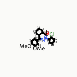 COc1ccc(C2=NN(c3ccccc3Cl)C(=O)[C@H]3CC=CC[C@@H]23)cc1OC